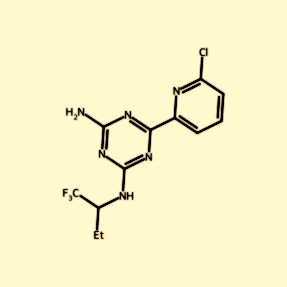 CCC(Nc1nc(N)nc(-c2cccc(Cl)n2)n1)C(F)(F)F